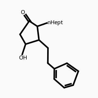 CCCCCCCC1C(=O)CC(O)C1CCc1ccccc1